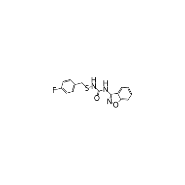 O=C(NSCc1ccc(F)cc1)Nc1noc2ccccc12